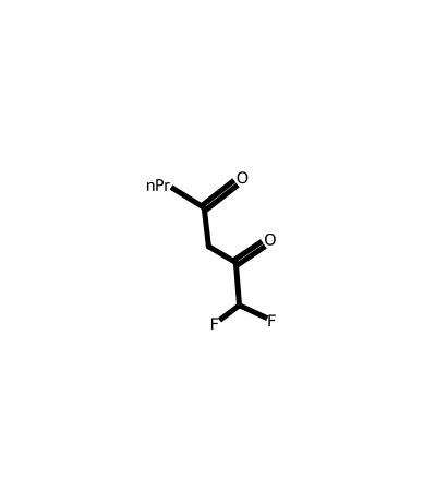 CCCC(=O)CC(=O)C(F)F